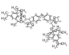 CC(C)c1cc(C(C)C)c(S(=O)(=O)OCCC2(c3ccc(Sc4ccc(C5(CCOS(=O)(=O)c6c(C(C)C)cc(C(C)C)cc6C(C)C)OCCO5)cc4)cc3)OCCO2)c(C(C)C)c1